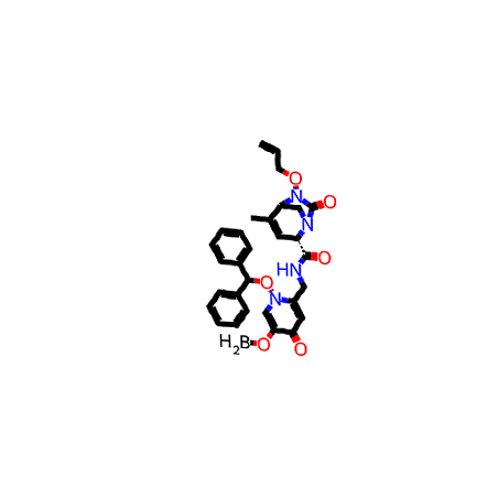 BOc1cn(OC(c2ccccc2)c2ccccc2)c(CNC(=O)[C@@H]2C=C(C)C3CN2C(=O)N3OCC=C)cc1=O